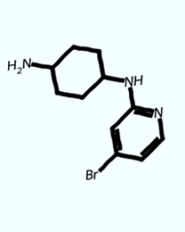 NC1CCC(Nc2cc(Br)ccn2)CC1